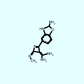 C/N=C1/N=C(c2ccc3c(c2)NC(N)O3)C1=C(N)N